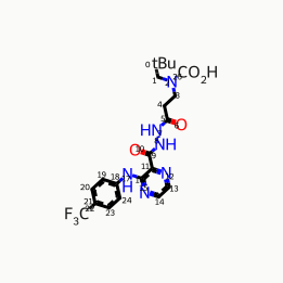 CC(C)(C)CN(CCC(=O)NNC(=O)c1nccnc1Nc1ccc(C(F)(F)F)cc1)C(=O)O